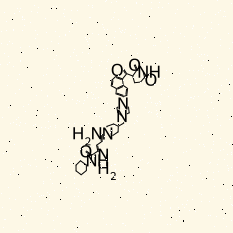 N/C(=C\C=C(/N)N1CCC(CN2CCN(c3ccc4c(ccc5occ(C6CCC(=O)NC6=O)c54)c3)CC2)CC1)C(=O)NC1CCCCC1